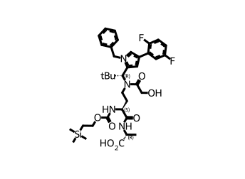 C[C@@H](NC(=O)[C@H](CCN(C(=O)CO)[C@@H](c1cc(-c2cc(F)ccc2F)cn1Cc1ccccc1)C(C)(C)C)NC(=O)OCC[Si](C)(C)C)C(=O)O